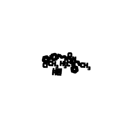 CCCc1nc(C(=O)NCCCN2CCN(c3cccc(Cl)c3C)CC2)c(C)n1-c1ccccc1.Cl.Cl